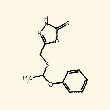 CC(Oc1ccccc1)SCc1n[nH]c(=S)o1